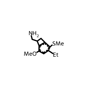 CCc1cc(OC)c2c(c1SC)CC2CN